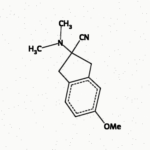 COc1ccc2c(c1)CC(C#N)(N(C)C)C2